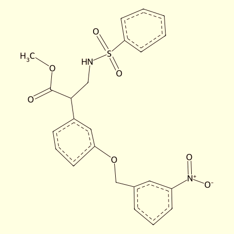 COC(=O)C(CNS(=O)(=O)c1ccccc1)c1cccc(OCc2cccc([N+](=O)[O-])c2)c1